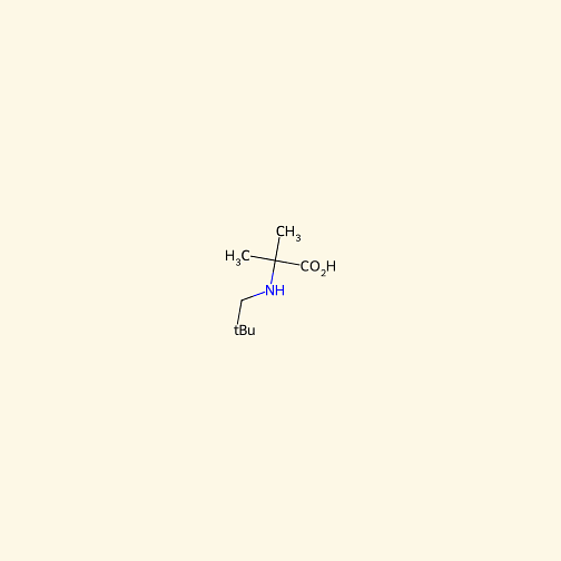 CC(C)(C)CNC(C)(C)C(=O)O